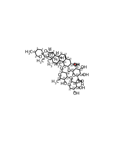 C[C@H]1CC[C@@]2(OC1)O[C@H]1C[C@H]3[C@@H]4CC=C5C[C@@H](O)C[C@@H](O[C@@H]6O[C@H](C)[C@H](O)[C@H](O[C@@H]7OC[C@@H](O)[C@H](O)[C@H]7O)[C@H]6O[C@@H]6O[C@H](CO)[C@@H](O)[C@H](O)[C@H]6O)[C@]5(C)[C@H]4CC[C@]3(C)[C@H]1[C@@H]2C